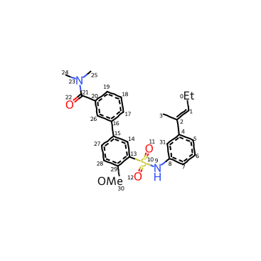 CC/C=C(\C)c1cccc(NS(=O)(=O)c2cc(-c3cccc(C(=O)N(C)C)c3)ccc2OC)c1